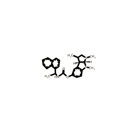 CC(NC(=O)Oc1ccc2c(c1)[C@@H]1C(C)CN(C)[C@@H]1N2C)c1cccc2ccccc12